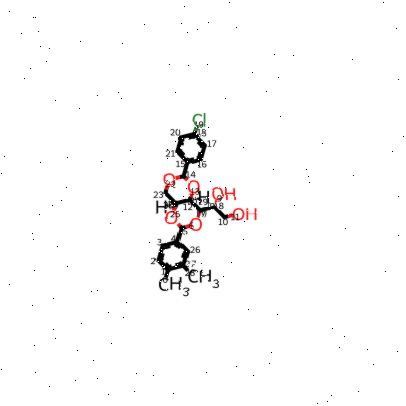 Cc1ccc(C2O[C@H]([C@H](O)CO)[C@@H]3OC(c4ccc(Cl)cc4)OC[C@@H]3O2)cc1C